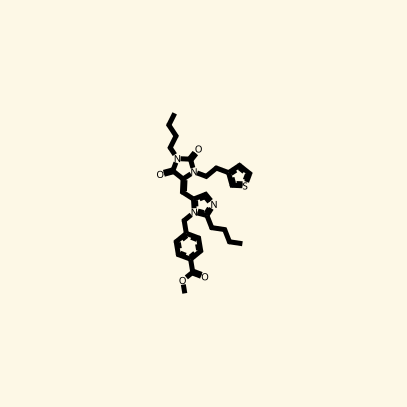 CCCCc1ncc(C=C2C(=O)N(CCCC)C(=O)N2CCc2ccsc2)n1Cc1ccc(C(=O)OC)cc1